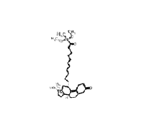 CO[N+](C)(OC)C(=O)CCCCCCCCCC[C@H]1C[C@]2(C)[C@@H](O)CC[C@H]2[C@@H]2CCC3=CC(=O)CCC3=C12